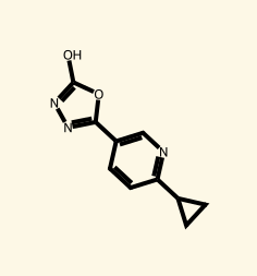 Oc1nnc(-c2ccc(C3CC3)nc2)o1